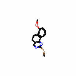 COc1cccc2c1CCc1cnc(SC)nc1-2